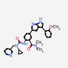 COc1ccccc1-c1c[nH]c2ncc(-c3ccc(NC(=O)N(Cc4cccnc4)C4CC4)c(C(=O)N(C)C)c3)cc12